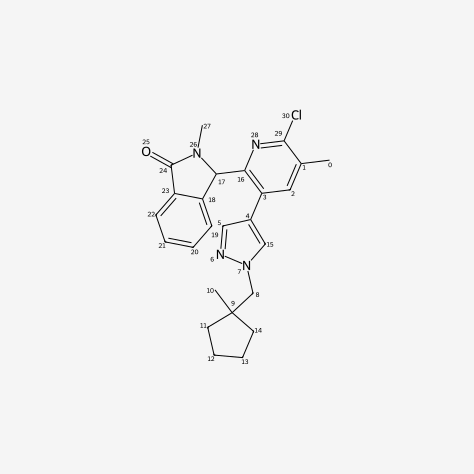 Cc1cc(-c2cnn(CC3(C)CCCC3)c2)c(C2c3ccccc3C(=O)N2C)nc1Cl